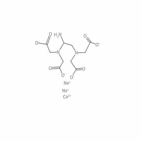 NC(CN(CC(=O)[O-])CC(=O)[O-])N(CC(=O)[O-])CC(=O)[O-].[Ca+2].[Na+].[Na+]